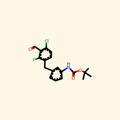 CC(C)(C)OC(=O)Nc1cccc(Cc2ccc(Cl)c(C=O)c2F)c1